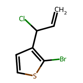 C=CC(Cl)c1ccsc1Br